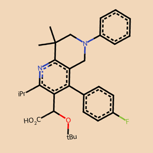 CC(C)c1nc2c(c(-c3ccc(F)cc3)c1C(OC(C)(C)C)C(=O)O)CN(c1ccccc1)CC2(C)C